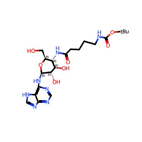 CC(C)(C)OC(=O)NCCCCC(=O)N[C@@H]1[C@@H](O)[C@H](O)[C@@H](Nc2ncnc3nc[nH]c23)O[C@H]1CO